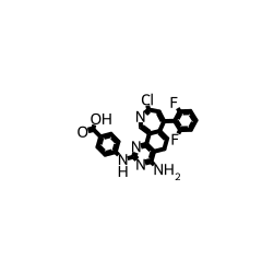 Nc1nc(Nc2ccc(C(=O)O)cc2)nc2c1CC=C1C2=CN=C(Cl)C=C1c1c(F)cccc1F